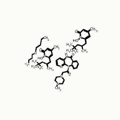 CCCCOCCCC.CN1CCN(CC(=O)N2c3ccccc3C(=O)Nc3cccnc32)CC1.Cc1cc(CC(C)CC(C)(C)C)n(O)c(=O)c1.Cc1cc(CC(C)CC(C)(C)C)n(O)c(=O)c1